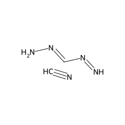 C#N.N=N/C=N/N